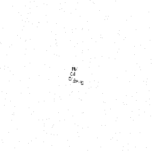 [As].[Cd].[Cr].[Hg].[Pb]